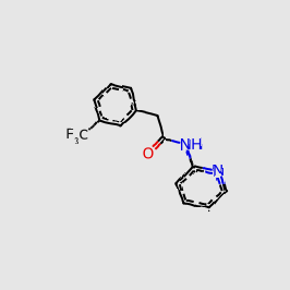 O=C(Cc1cccc(C(F)(F)F)c1)Nc1cc[c]cn1